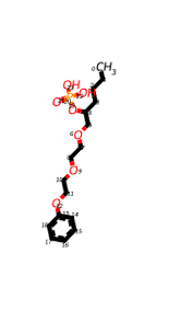 CCCCC(COCCOCCOc1ccccc1)OP(=O)(O)O